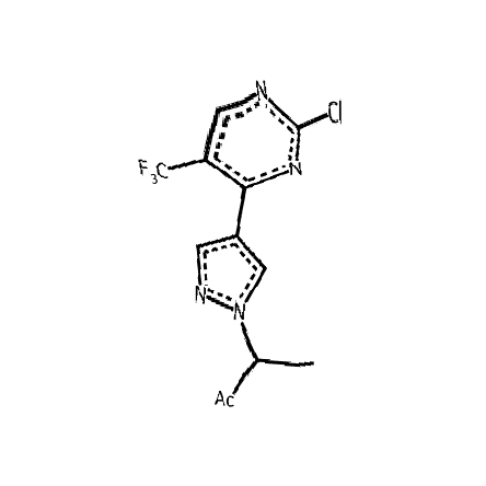 CC(=O)C(C)n1cc(-c2nc(Cl)ncc2C(F)(F)F)cn1